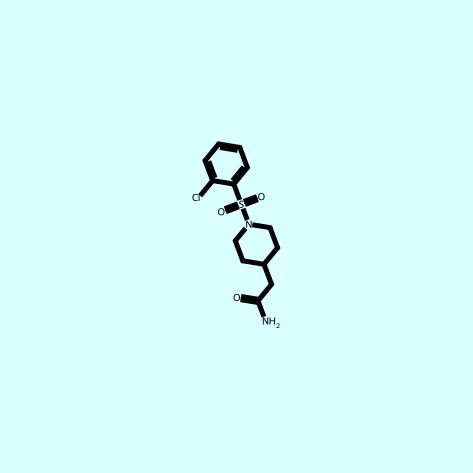 NC(=O)CC1CCN(S(=O)(=O)c2ccccc2Cl)CC1